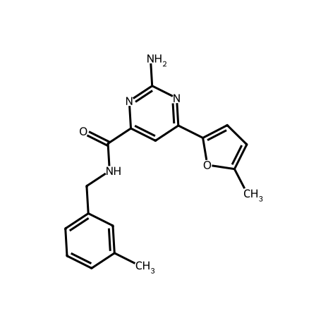 Cc1cccc(CNC(=O)c2cc(-c3ccc(C)o3)nc(N)n2)c1